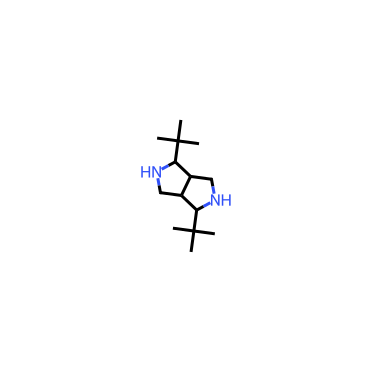 CC(C)(C)C1NCC2C1CNC2C(C)(C)C